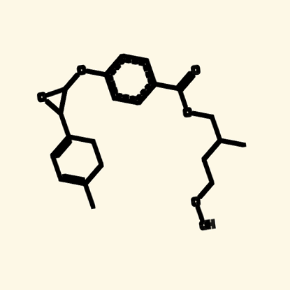 CC1=CC=C(C2OC2Oc2ccc(C(=O)OCC(C)CCOO)cc2)CC1